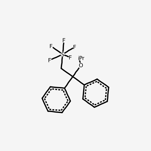 CC(C)OC(CS(F)(F)(F)(F)F)(c1ccccc1)c1ccccc1